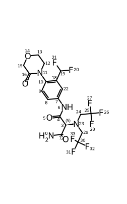 NC(=O)[C@@H](C(=O)Nc1ccc(N2CCOCC2=O)c(C(F)F)c1)N(CC(F)(F)F)CC(F)(F)F